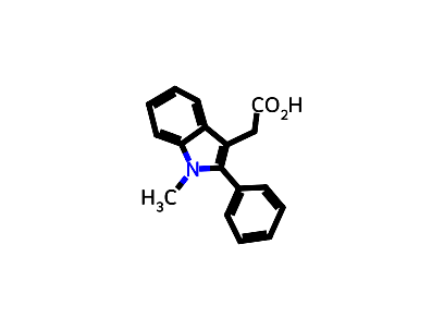 Cn1c(-c2ccccc2)c(CC(=O)O)c2ccccc21